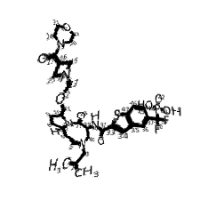 CC(C)CN1CC[C@H]2CCC(COCN3CC(C(=O)N4CCOCC4)C3)N2C(=O)C(NC(=O)c2cc3cc(C(F)(F)P(=O)(O)O)ccc3s2)C1